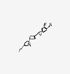 CCCc1ccc(C2CCC(COc3ccc(C#N)c(F)c3)CC2)nc1